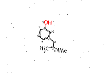 CNC(C)Cc1cccc(O)c1